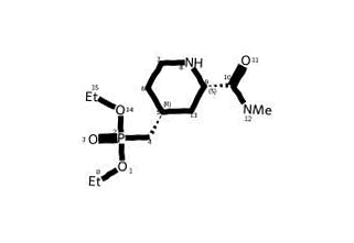 CCOP(=O)(C[C@@H]1CCN[C@H](C(=O)NC)C1)OCC